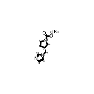 CC(C)(C)OC(=O)N1CC[C@H](Cn2ccnc2)C1